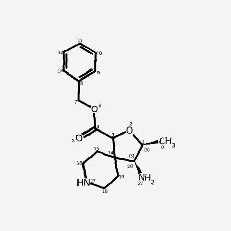 C[C@@H]1OC(C(=O)OCc2ccccc2)C2(CCNCC2)[C@@H]1N